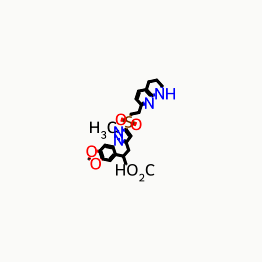 Cn1nc(CC(CC(=O)O)c2ccc3c(c2)OCO3)cc1S(=O)(=O)CCc1ccc2c(n1)NCCC2